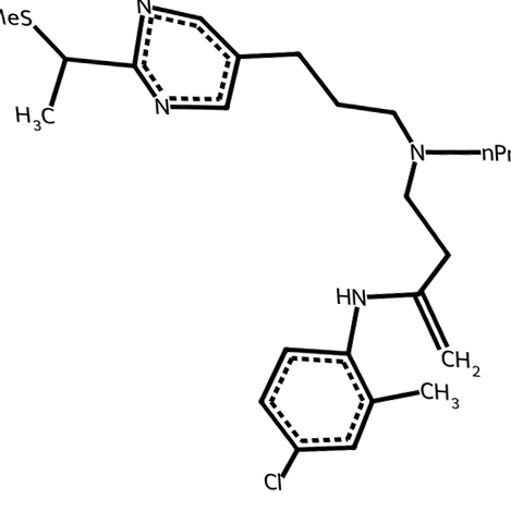 C=C(CCN(CCC)CCCc1cnc(C(C)SC)nc1)Nc1ccc(Cl)cc1C